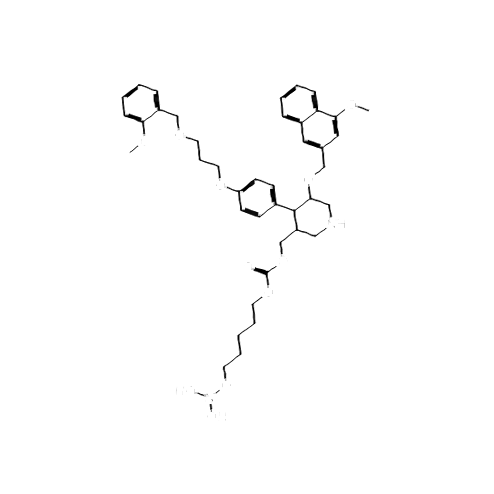 COc1ccccc1COCCCOc1ccc(C2C(COC(=O)OCCCCCON(O)O)CNCC2OCc2cc(OC)c3ccccc3c2)cc1